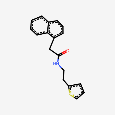 O=C(Cc1cccc2ccccc12)NCCc1cccs1